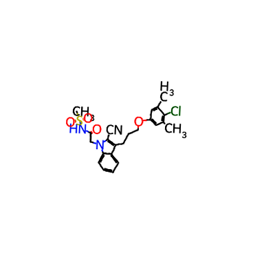 Cc1cc(OCCCc2c(C#N)n(CC(=O)NS(C)(=O)=O)c3ccccc23)cc(C)c1Cl